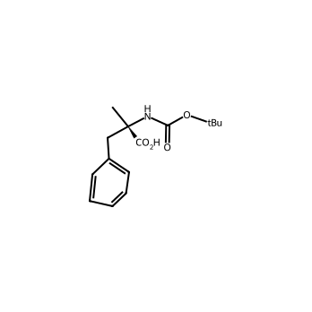 CC(C)(C)OC(=O)N[C@@](C)(Cc1ccccc1)C(=O)O